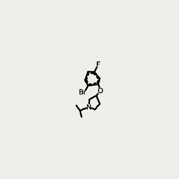 CC(C)N1CCC(Oc2cc(F)ccc2Br)C1